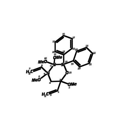 C=CC1(OC)C[Si](C=C)(OC)[Si](OC)(OC)[Si](c2ccccc2)(c2ccccc2)O1